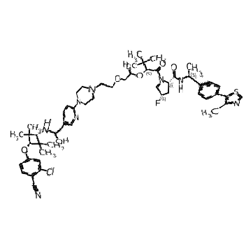 Cc1ncsc1-c1ccc([C@H](C)NC(=O)[C@@H]2C[C@H](F)CN2C(=O)[C@@H](OC(=O)COCCN2CCN(c3ccc(C(O)N[C@H]4C(C)(C)[C@H](Oc5ccc(C#N)c(Cl)c5)C4(C)C)cn3)CC2)C(C)(C)C)cc1